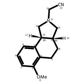 COc1cccc2c1CC[C@H]1CN(CC#N)C[C@@H]21